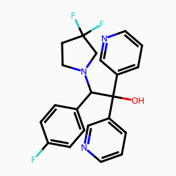 OC(c1cccnc1)(c1cccnc1)C(c1ccc(F)cc1)N1CCC(F)(F)C1